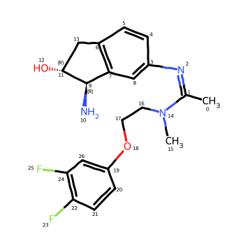 CC(=Nc1ccc2c(c1)[C@@H](N)[C@H](O)C2)N(C)CCOc1ccc(F)c(F)c1